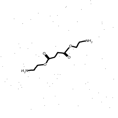 NCCOC(=O)CCC(=O)OCCN